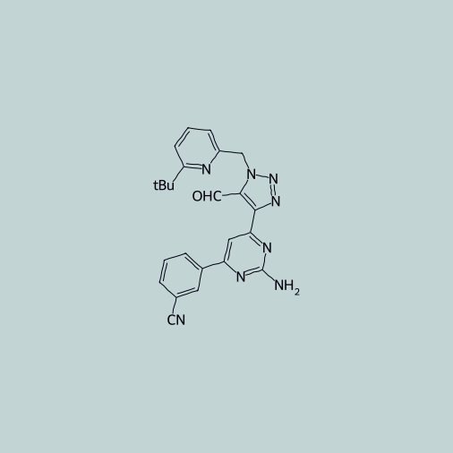 CC(C)(C)c1cccc(Cn2nnc(-c3cc(-c4cccc(C#N)c4)nc(N)n3)c2C=O)n1